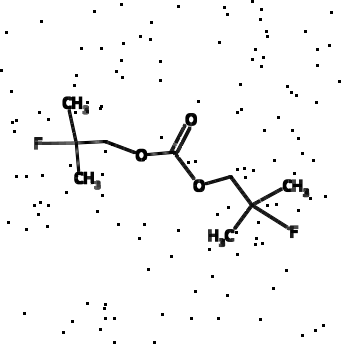 CC(C)(F)COC(=O)OCC(C)(C)F